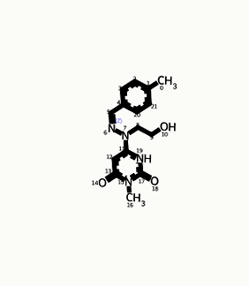 Cc1ccc(/C=N\N(CCO)c2cc(=O)n(C)c(=O)[nH]2)cc1